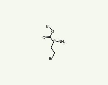 CCOC(=O)[C@@H](N)CCBr